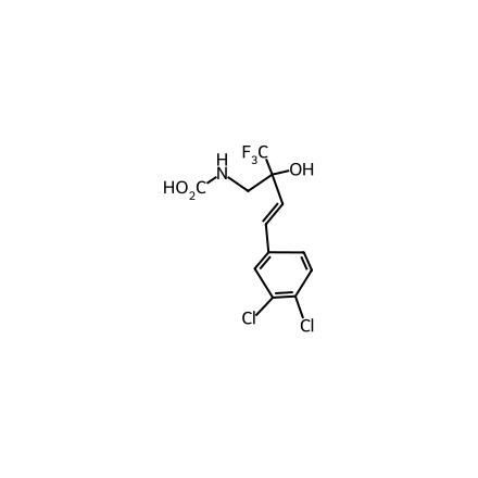 O=C(O)NCC(O)(/C=C/c1ccc(Cl)c(Cl)c1)C(F)(F)F